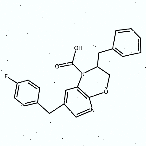 O=C(O)N1c2cc(Cc3ccc(F)cc3)cnc2OCC1Cc1ccccc1